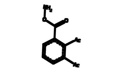 CC(=O)c1cccc(C(=O)ON)c1C(C)=O